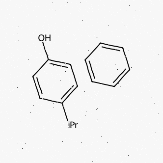 CC(C)c1ccc(O)cc1.c1ccccc1